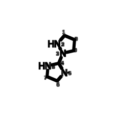 C1CNN(C2[N]CCN2)C1